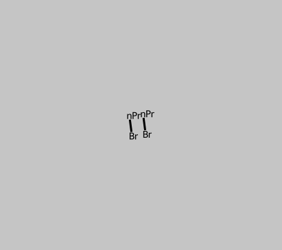 CCCBr.CCCBr